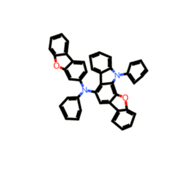 c1ccc(N(c2ccc3c(c2)oc2ccccc23)c2cc3c4ccccc4oc3c3c2c2ccccc2n3-c2ccccc2)cc1